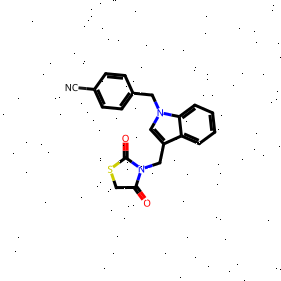 N#Cc1ccc(Cn2cc(CN3C(=O)CSC3=O)c3ccccc32)cc1